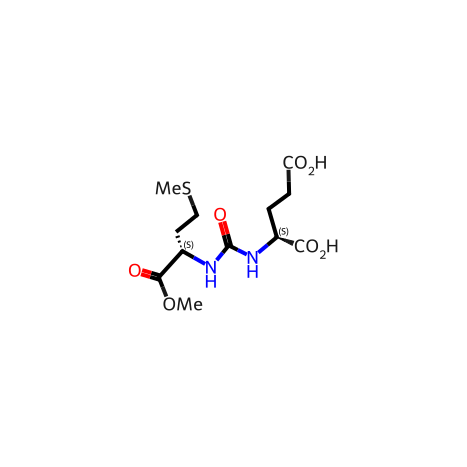 COC(=O)[C@H](CCSC)NC(=O)N[C@@H](CCC(=O)O)C(=O)O